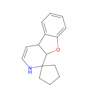 C1=CC2c3ccccc3OC2C2(CCCC2)N1